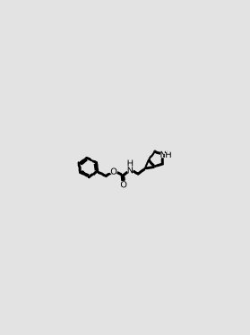 O=C(NCC1C2CNCC21)OCc1ccccc1